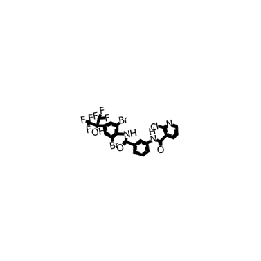 O=C(Nc1c(Br)cc(C(O)(C(F)(F)F)C(F)(F)F)cc1Br)c1cccc(NC(=O)c2cccnc2Cl)c1